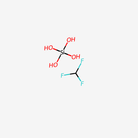 FC(F)F.O[Si](O)(O)O